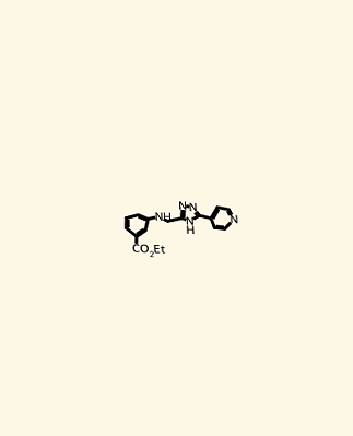 CCOC(=O)c1cccc(NCc2nnc(-c3ccncc3)[nH]2)c1